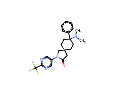 CN(C)[C@]1(c2ccccc2)CC[C@@]2(CC1)CC(=O)N(c1cnc(C(F)(F)F)nc1)C2